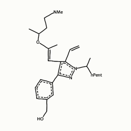 C=Cc1c(/C=C(\C)OC(C)CCNC)c(-c2cccc(CO)c2)nn1C(C)CCCCC